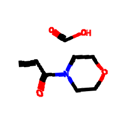 C=CC(=O)N1CCOCC1.O=CO